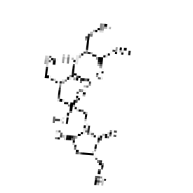 CNC(=O)[C@H](CC(C)C)NC(=O)[C@H](CC(C)C)CP(=O)(O)CN1C(=O)C[C@H](CC(C)C)C1=O